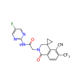 N#Cc1c(C(F)(F)F)ccc2c1C1(CC1)CN(CC(=O)Nc1ncc(F)cn1)C2=O